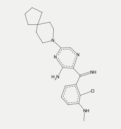 CNc1cccc(C(=N)c2ncc(N3CCC4(CCCC4)CC3)nc2N)c1Cl